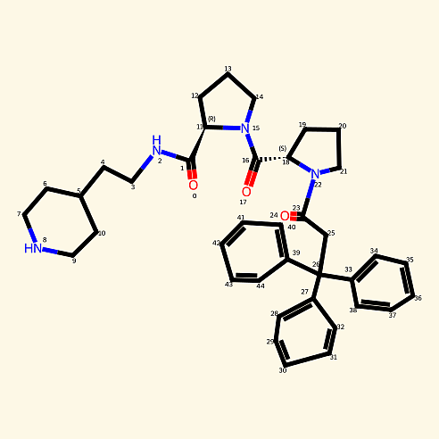 O=C(NCCC1CCNCC1)[C@H]1CCCN1C(=O)[C@@H]1CCCN1C(=O)CC(c1ccccc1)(c1ccccc1)c1ccccc1